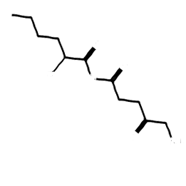 CCCCC(Cl)C(=O)OC(=O)CCC(=O)CN